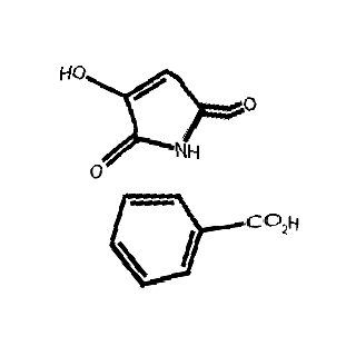 O=C(O)c1ccccc1.O=C1C=C(O)C(=O)N1